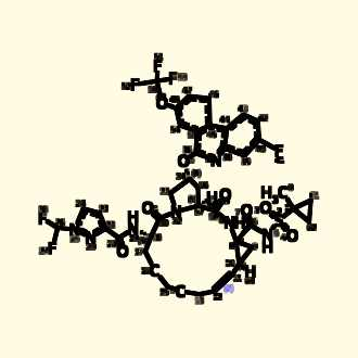 CC1(S(=O)(=O)NC(=O)[C@@]23C[C@H]2/C=C\CCCCC[C@H](NC(=O)c2ccn(C(F)F)n2)C(=O)N2C[C@H](Oc4nc5cc(F)ccc5c5ccc(OC(F)(F)F)cc45)C[C@H]2C(=O)N3)CC1